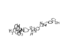 CC(C)(C)OC(=O)N1CCC(C(=O)Nc2nc3ccc(-c4cnc(CO[C@H]5CCC[C@@H]5O)nc4)cc3s2)CC1